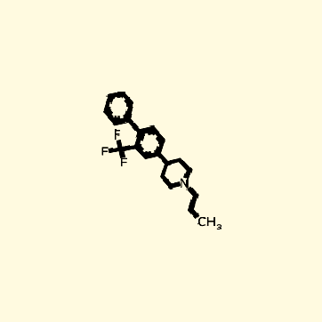 CCCN1CCC(c2ccc(-c3cc[c]cc3)c(C(F)(F)F)c2)CC1